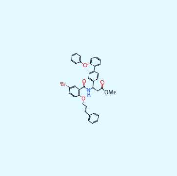 COC(=O)CC(NC(=O)c1cc(Br)ccc1OCC=Cc1ccccc1)c1ccc(-c2ccccc2Oc2ccccc2)cc1